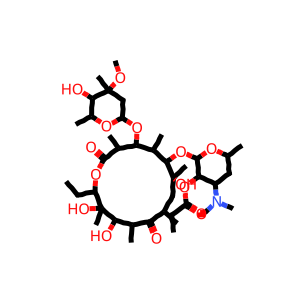 CCC(=O)OC1C(OC2C(C)C(OC3CC(C)(OC)C(O)C(C)O3)C(C)C(=O)OC(CC)C(C)(O)C(O)C(C)C(=O)C(C)CC2(C)O)OC(C)CC1N(C)C